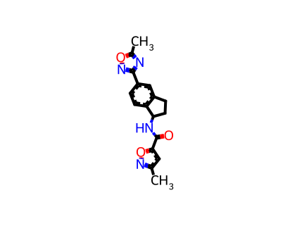 Cc1cc(C(=O)NC2CCc3cc(-c4noc(C)n4)ccc32)on1